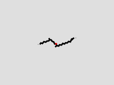 [CH2]C#CCCCCCCCCCC(C)CCCCCC(C)CCCCCC[CH2]